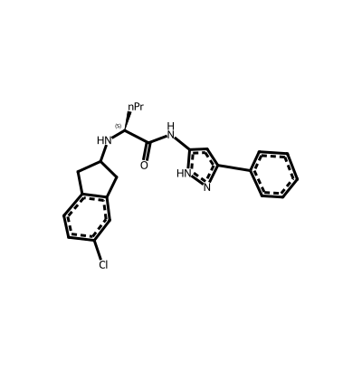 CCC[C@H](NC1Cc2ccc(Cl)cc2C1)C(=O)Nc1cc(-c2ccccc2)n[nH]1